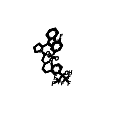 O=C(C[C@@H]1CCc2cc(C(O)(C(F)(F)F)C(F)(F)F)ccc2N1S(=O)(=O)c1ccc(F)cc1)N1CCCC1c1c[nH]c2ccccc12